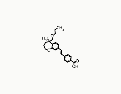 CCCOCC1(C)CCCOc2cc(C=Cc3ccc(C(=O)O)cc3)ccc21